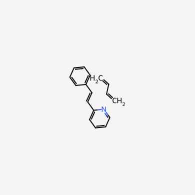 C(=Cc1ccccn1)c1ccccc1.C=CC=C